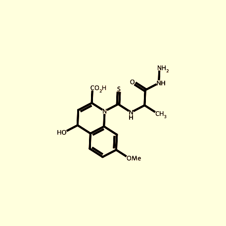 COc1ccc2c(c1)N(C(=S)NC(C)C(=O)NN)C(C(=O)O)=CC2O